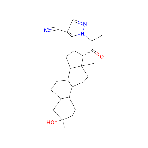 CC(C(=O)[C@H]1CCC2C3CCC4C[C@](C)(O)CCC4C3CCC21C)n1cc(C#N)cn1